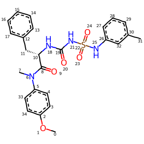 COc1ccc(N(C)C(=O)[C@H](Cc2ccccc2)NC(=O)NS(=O)(=O)Nc2cccc(C)c2)cc1